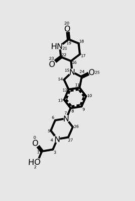 O=C(O)CN1CCN(c2ccc3c(c2)CN(C2CCC(=O)NC2=O)C3=O)CC1